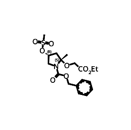 CCOC(=O)CO[C@@]1(C)C[C@@H](OS(C)(=O)=O)CN1C(=O)OCc1ccccc1